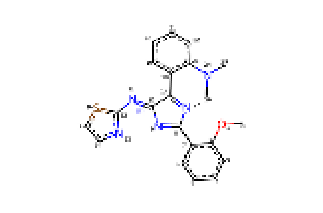 COc1ccccc1C1=N/C(=N\c2nccs2)C(c2ccccc2N(C)C)=N1